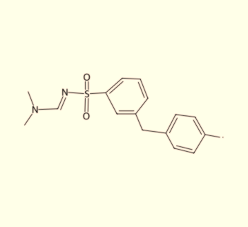 [CH2]c1ccc(Cc2cccc(S(=O)(=O)N=CN(C)C)c2)cc1